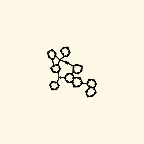 C(#CC1(c2ccccc2)c2ccccc2-c2ccc(N(c3ccccc3)c3ccc4cc(-c5cccc6ccccc56)ccc4c3)cc21)c1ccccc1